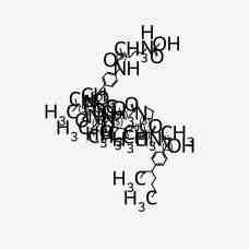 CCCCC(CC)c1ccc([C@H](O)[C@@H](C)NC(=O)[C@H](C)[C@@H](CC)[C@@H]2CCCN2C(=O)C[C@@H](OC)[C@H](C(C)CC)N(C)C(=O)[C@@H](NC(=O)[C@H](C(C)C)N(C)C(=O)OCc2ccc(NC(=O)[C@@H](C)CCCNC(=O)O)cc2)C(C)C)cc1